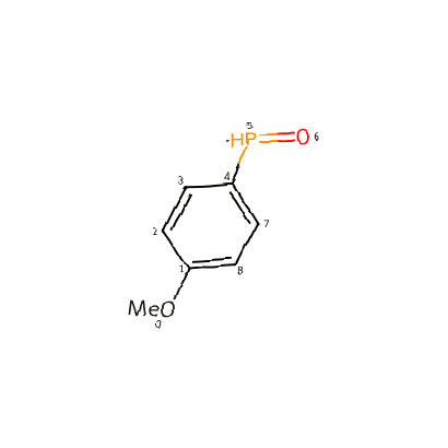 COc1ccc([PH]=O)cc1